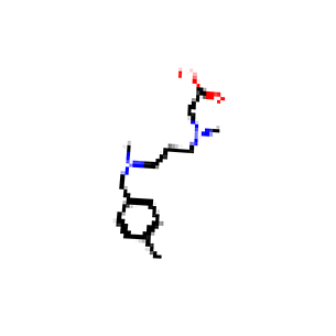 Cc1ccc(CN(C)CCCN(C)CC(=O)O)cc1